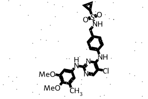 COc1cc(Nc2ncc(Cl)c(Nc3ccc(CNS(=O)(=O)C4CC4)cc3)n2)cc(C)c1OC